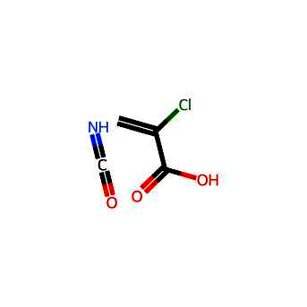 C=C(Cl)C(=O)O.N=C=O